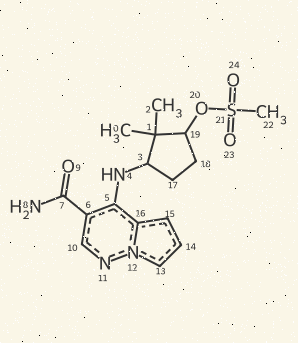 CC1(C)C(Nc2c(C(N)=O)cnn3cccc23)CCC1OS(C)(=O)=O